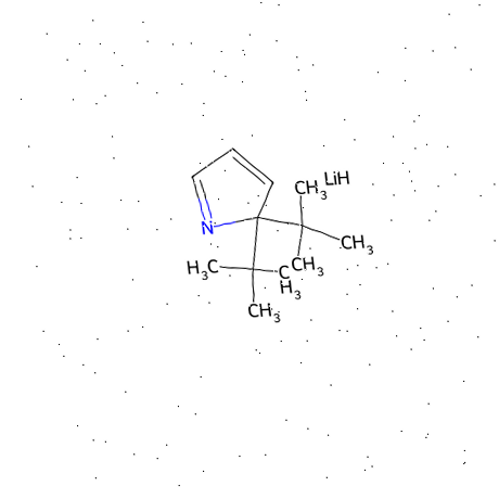 CC(C)(C)C1(C(C)(C)C)C=CC=N1.[LiH]